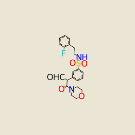 O=CC(C(=O)N1CCOCC1)c1cccc(S(=O)(=O)NCCc2ccccc2F)c1